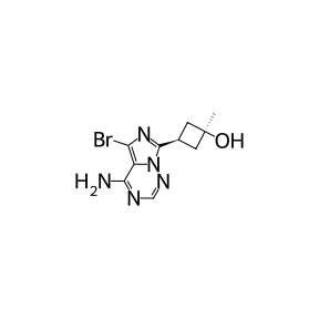 C[C@]1(O)C[C@@H](c2nc(Br)c3c(N)ncnn32)C1